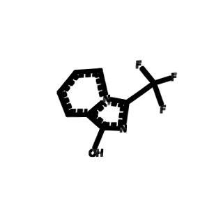 Oc1nc(C(F)(F)F)n2ccccc12